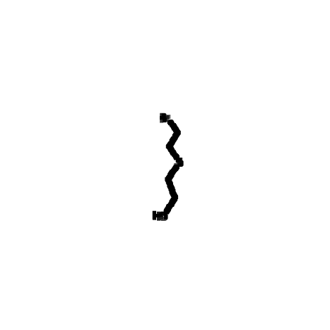 OCCSCCBr